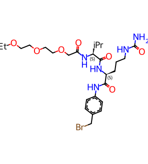 CCOCCOCCOCC(=O)N[C@H](C(=O)N[C@@H](CCCNC(N)=O)C(=O)Nc1ccc(CBr)cc1)C(C)C